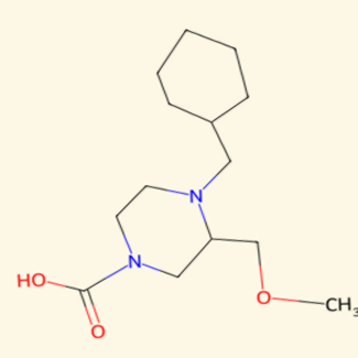 COCC1CN(C(=O)O)CCN1CC1CCCCC1